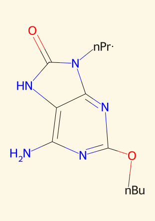 CC[CH]n1c(=O)[nH]c2c(N)nc(OCCCC)nc21